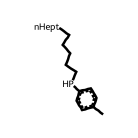 CCCCCCCCCCCCPc1ccc(C)cc1